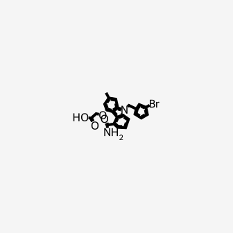 Cc1cc(OCC(=O)O)c2c3c(C(N)=O)cccc3n(Cc3cccc(Br)c3)c2c1